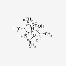 C=CC(O)[PH](C(O)C=C)(C(O)C=C)C(O)C=C